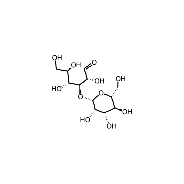 O=C[C@H](O)[C@@H](O[C@@H]1O[C@H](CO)[C@@H](O)[C@H](O)[C@@H]1O)[C@H](O)[C@H](O)CO